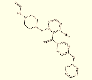 N=C(c1ccc(Oc2ccccc2)cc1)c1c(N)ncnc1NC1CCC(NC=O)CC1